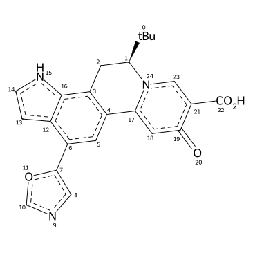 CC(C)(C)[C@@H]1Cc2c(cc(-c3cnco3)c3cc[nH]c23)-c2cc(=O)c(C(=O)O)cn21